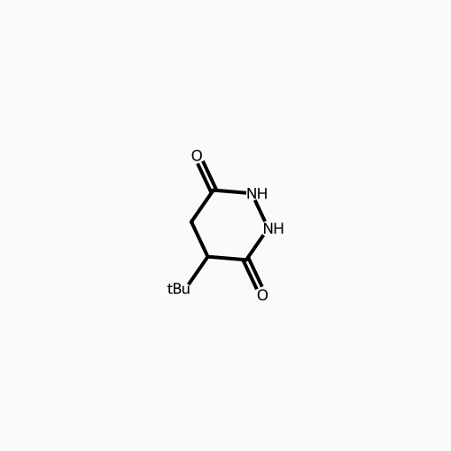 CC(C)(C)C1CC(=O)NNC1=O